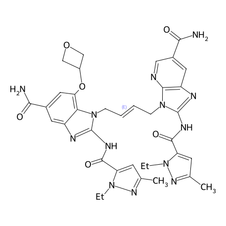 CCn1nc(C)cc1C(=O)Nc1nc2cc(C(N)=O)cnc2n1C/C=C/Cn1c(NC(=O)c2cc(C)nn2CC)nc2cc(C(N)=O)cc(OC3COC3)c21